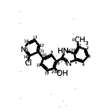 Cc1cccc2nc(-c3cc(-c4cccnc4Cl)ccc3O)[nH]c12